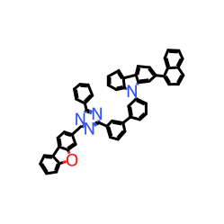 c1ccc(-c2nc(-c3cccc(-c4cccc(-n5c6ccccc6c6ccc(-c7cccc8ccccc78)cc65)c4)c3)nc(-c3ccc4c(c3)oc3ccccc34)n2)cc1